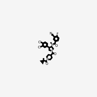 CN(C(=O)c1ccc(F)c(C#N)c1)[C@H]1CN(C(=O)C2CCN(C(=O)C3(C)CC3)CC2)CC1c1ccc(Cl)c(Cl)c1